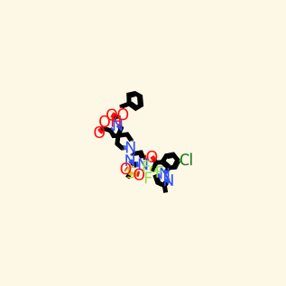 Cc1ccn(-c2cc(Cl)ccc2C(Oc2cc(N3CCC4(CC3)CC(C(=O)O)N(C(=O)OCc3ccccc3)C4)nc(S(C)(=O)=O)n2)C(F)(F)F)n1